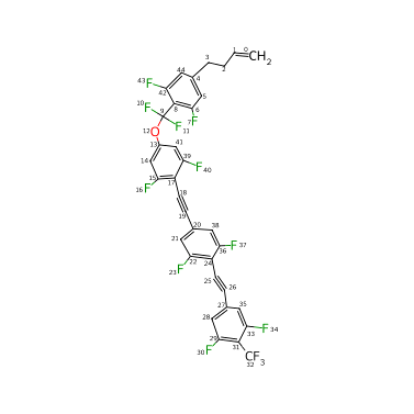 C=CCCc1cc(F)c(C(F)(F)Oc2cc(F)c(C#Cc3cc(F)c(C#Cc4cc(F)c(C(F)(F)F)c(F)c4)c(F)c3)c(F)c2)c(F)c1